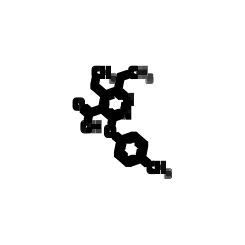 CCc1nnc(Oc2ccc(C)cc2)c(C(=O)O)c1CC